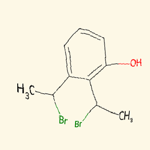 CC(Br)c1cccc(O)c1C(C)Br